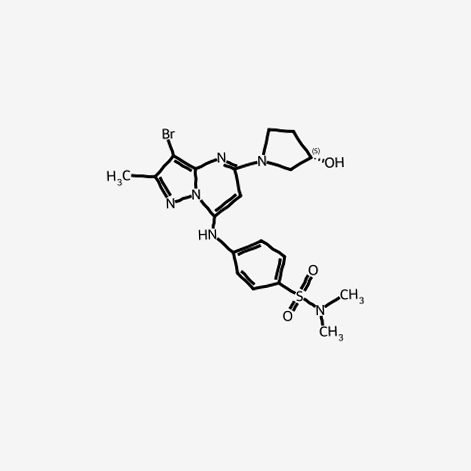 Cc1nn2c(Nc3ccc(S(=O)(=O)N(C)C)cc3)cc(N3CC[C@H](O)C3)nc2c1Br